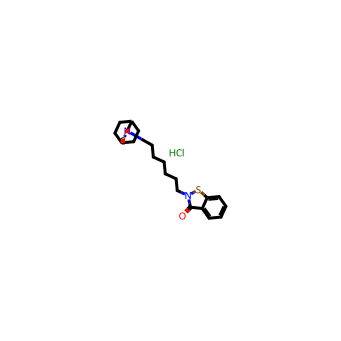 Cl.O=c1c2ccccc2sn1CCCCCCN1CC2CCC(CC2)C1